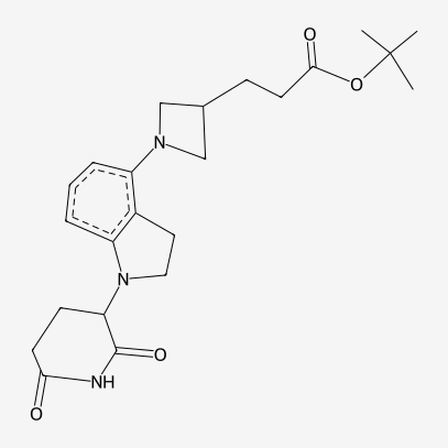 CC(C)(C)OC(=O)CCC1CN(c2cccc3c2CCN3C2CCC(=O)NC2=O)C1